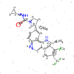 CO[C@@]1(c2ccc3nccc(N[C@H](C)c4cccc(C(F)F)c4F)c3c2)CCN(C(=O)NC2CC2)C1